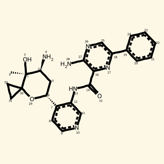 C[C@]1(O)[C@@H](N)C[C@H](c2ccncc2NC(=O)c2nc(-c3ccccc3)cnc2N)OC12CC2